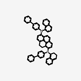 C1=c2ccccc2=C(N(c2ccc(-c3ccccc3)cc2)c2ccc3ccc4c(N(c5ccc(-c6ccccc6)cc5)c5cccc6ccccc56)ccc5c4c3c2CC5)CC1